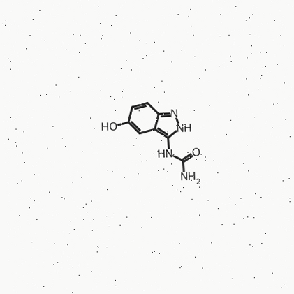 NC(=O)Nc1[nH]nc2ccc(O)cc12